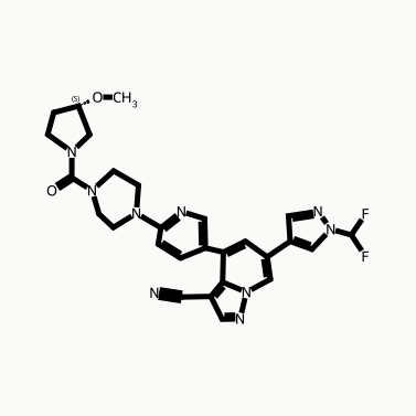 CO[C@H]1CCN(C(=O)N2CCN(c3ccc(-c4cc(-c5cnn(C(F)F)c5)cn5ncc(C#N)c45)cn3)CC2)C1